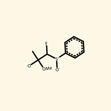 COC(C)([O])C(F)[S+]([O-])c1ccccc1